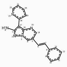 Nc1nn2cc(/C=C/c3ccccc3)cnc2c1-c1ccccn1